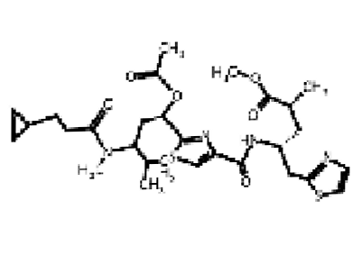 COC(=O)[C@@H](C)C[C@H](Cc1nccs1)NC(=O)c1csc([C@@H](CC(C(C)C)N(C)C(=O)CCC2CC2)OC(C)=O)n1